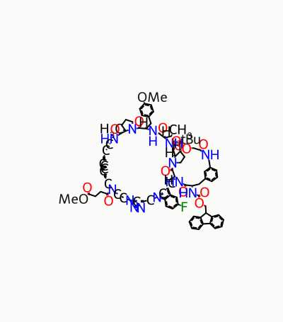 COC(=O)CCC(=O)N1CCn2cc(nn2)Cn2cc(c3cc(F)ccc32)C[C@@H]2NC(=O)[C@@H](NC(=O)OCC3c4ccccc4-c4ccccc43)Cc3cccc(c3)CNC(=O)CO[C@H]3CCN(C2=O)[C@@H]3C(=O)N[C@@H]([C@@H](C)OC(C)(C)C)C(=O)N[C@@H](Cc2ccc(OC)cc2)C(=O)N2CCC[C@@]2(C)C(=O)NCCc2ccc(cc2)C1